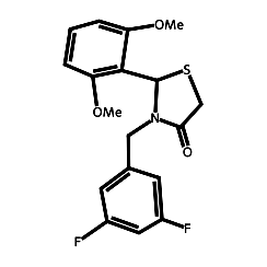 COc1cccc(OC)c1C1SCC(=O)N1Cc1cc(F)cc(F)c1